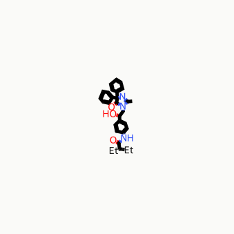 CCC(CC)C(=O)Nc1ccc(C(O)CN2C(=O)C(c3ccccc3)(c3ccccc3)N=C2C)cc1